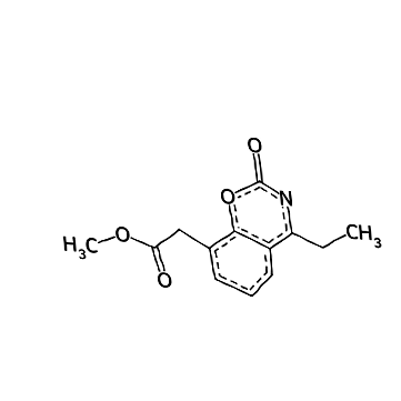 CCc1nc(=O)oc2c(CC(=O)OC)cccc12